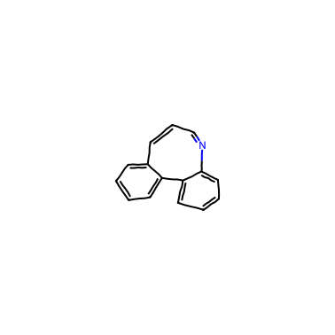 C1=Cc2ccccc2-c2ccccc2N=C1